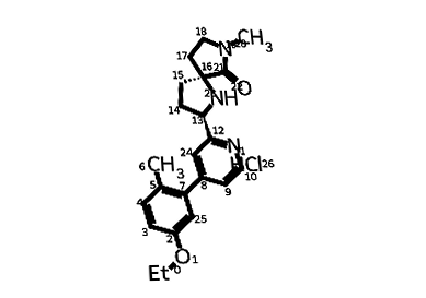 CCOc1ccc(C)c(-c2ccnc([C@H]3CC[C@@]4(CCN(C)C4=O)N3)c2)c1.Cl